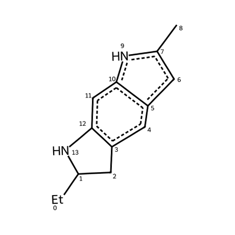 CCC1Cc2cc3cc(C)[nH]c3cc2N1